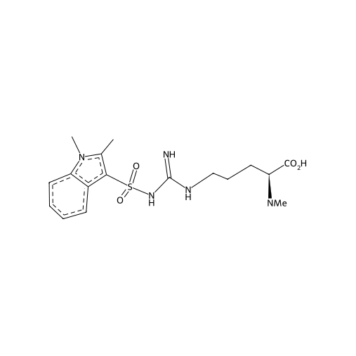 CN[C@@H](CCCNC(=N)NS(=O)(=O)c1c(C)n(C)c2ccccc12)C(=O)O